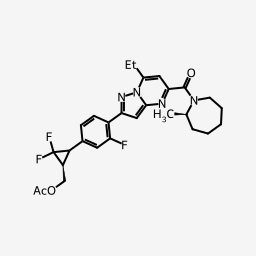 CCc1cc(C(=O)N2CCCCC[C@H]2C)nc2cc(-c3ccc(C4[C@@H](COC(C)=O)C4(F)F)cc3F)nn12